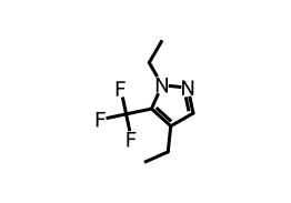 CCc1cnn(CC)c1C(F)(F)F